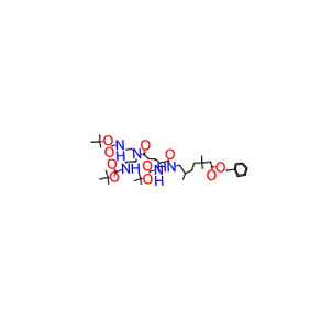 CC(CCC(C)(C)CC(=O)OCc1ccccc1)CNC(=O)[C@H](CCC(=O)N(CCNC(=O)OC(C)(C)C)CCNC(=O)OC(C)(C)C)NC(=O)OC(C)(C)C